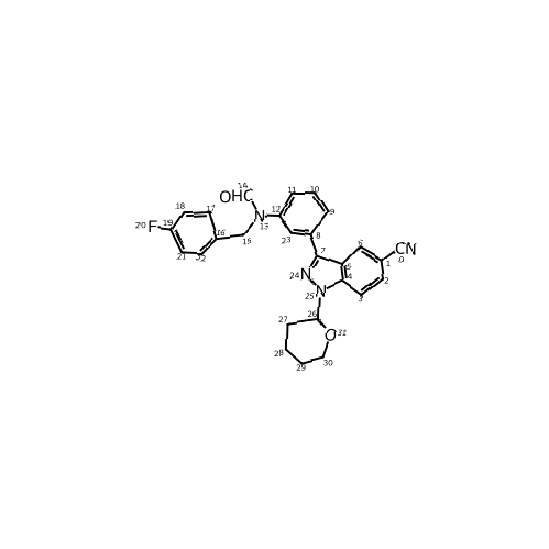 N#Cc1ccc2c(c1)c(-c1cccc(N(C=O)Cc3ccc(F)cc3)c1)nn2C1CCCCO1